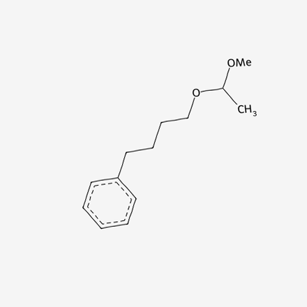 COC(C)OCCCCc1ccccc1